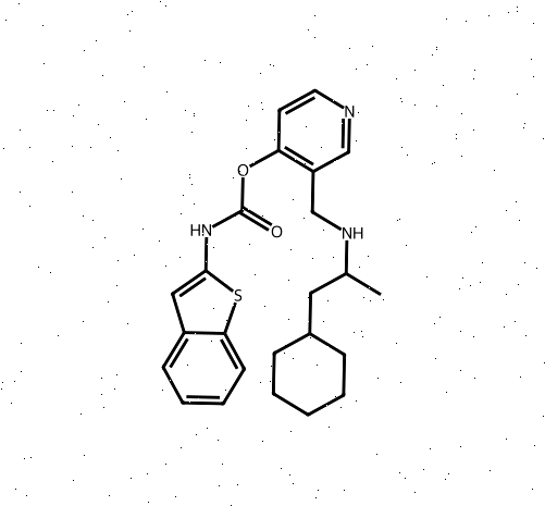 CC(CC1CCCCC1)NCc1cnccc1OC(=O)Nc1cc2ccccc2s1